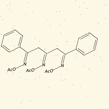 CC(=O)ON=C(CC(=NOC(C)=O)c1ccccc1)CC(=NOC(C)=O)c1ccccc1